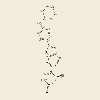 CC[C@H]1CC(=O)NN=C1c1ccc2nc(-c3ccc(OC4CCOCC4)cc3)oc2c1